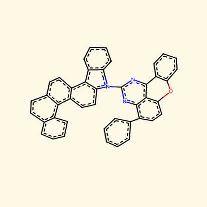 c1ccc(-c2ccc3c4c(nc(-n5c6ccccc6c6c7ccc8ccc9ccccc9c8c7ccc65)nc24)-c2ccccc2O3)cc1